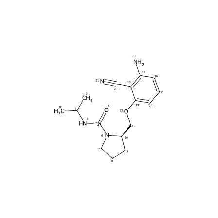 CC(C)NC(=O)N1CCC[C@@H]1COc1cccc(N)c1C#N